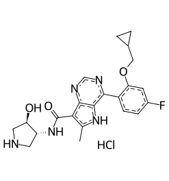 Cc1[nH]c2c(-c3ccc(F)cc3OCC3CC3)ncnc2c1C(=O)N[C@@H]1CNC[C@H]1O.Cl